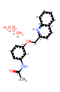 CC(=O)Nc1cccc(OCc2ccc3ccccc3n2)c1.O.O.O